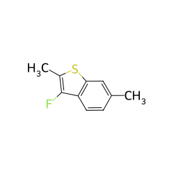 Cc1ccc2c(F)c(C)sc2c1